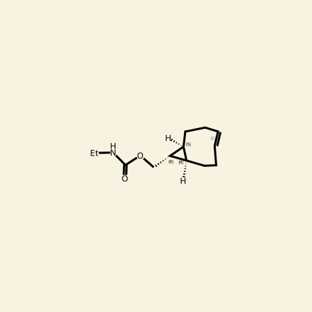 CCNC(=O)OC[C@H]1[C@@H]2CC/C=C/CC[C@@H]21